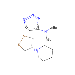 C1=CSSC1.C1CCNCC1.CCCCN(CCCC)c1ccnnn1